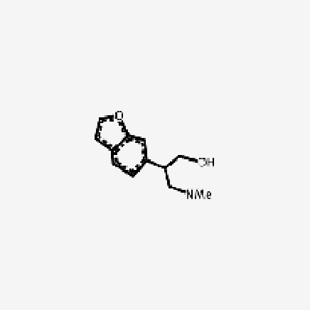 CNCC(CO)c1ccc2ccoc2c1